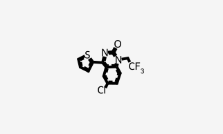 O=c1nc(-c2cccs2)c2cc(Cl)ccc2n1CC(F)(F)F